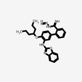 CCCC(CCC)Oc1ccc(-c2ccccc2C(=N)NN=N)cc1Nc1nc2ccccc2o1